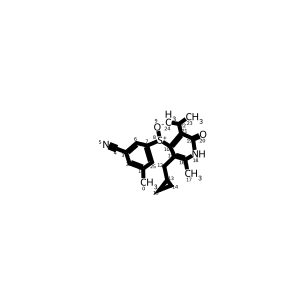 Cc1cc(C#N)cc([S+]([O-])c2c(CC3CC3)c(C)[nH]c(=O)c2C(C)C)c1